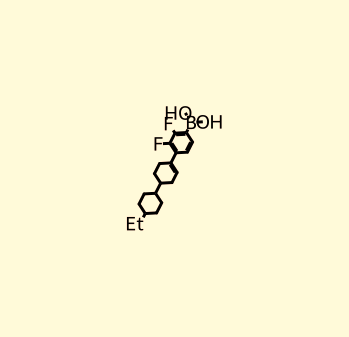 CCC1CCC(C2CC=C(c3ccc(B(O)O)c(F)c3F)CC2)CC1